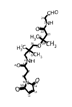 CC(C)(CNC(=O)CCN1C(=O)C=CC1=O)COC(C)(C)CC(=O)NCC=O